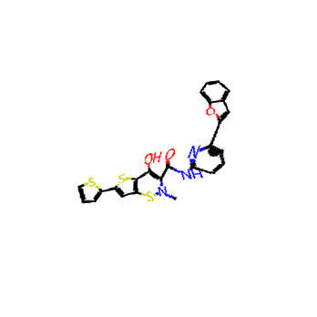 CN1Sc2cc(-c3cccs3)sc2C(O)=C1C(=O)Nc1cccc(-c2cc3ccccc3o2)n1